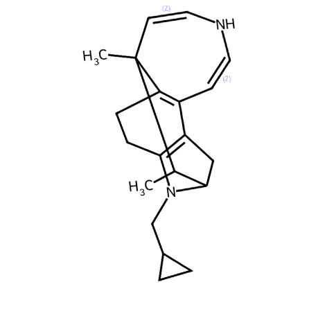 CC1C2CC3=C(CCC4=C3/C=C\N/C=C\C41C)N2CC1CC1